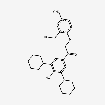 O=Cc1ccc(OCC(=O)c2cc(C3CCCCC3)c(O)c(C3CCCCC3)c2)c(CO)c1